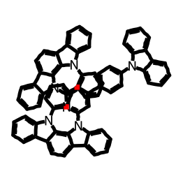 c1ccc(-n2c3ccccc3c3ccc4c5ccccc5n(-c5cc(-c6ccc(-n7c8ccccc8c8ccccc87)cc6)cc(-n6c7ccccc7c7ccc8c9ccccc9n(-c9ccccc9)c8c76)n5)c4c32)cc1